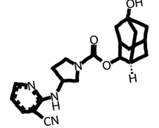 N#Cc1cccnc1NC1CCN(C(=O)OC2C3CC4C[C@@H]2CC(O)(C4)C3)C1